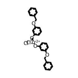 [Cl-].[Cl-].c1ccc(COc2cccc([O][Zr+2][O]c3cccc(OCc4ccccc4)c3)c2)cc1